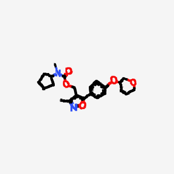 Cc1noc(-c2ccc(OC3CCCOC3)cc2)c1COC(=O)N(C)C1CCCC1